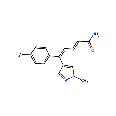 Cn1cc(/C(=C\C=C\C(N)=O)c2ccc(C(F)(F)F)cc2)cn1